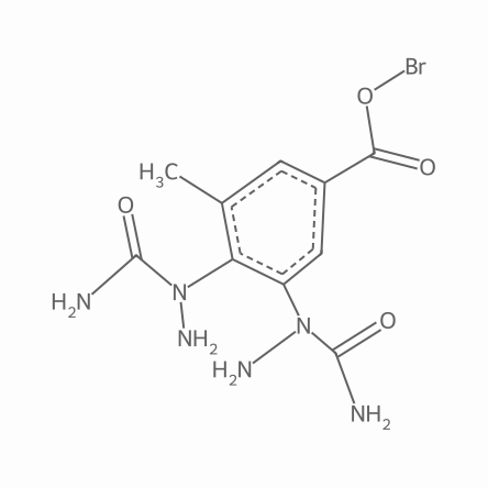 Cc1cc(C(=O)OBr)cc(N(N)C(N)=O)c1N(N)C(N)=O